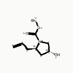 C=CC[C@@H]1C[C@@H](O)CN1C(=O)OC(C)(C)C